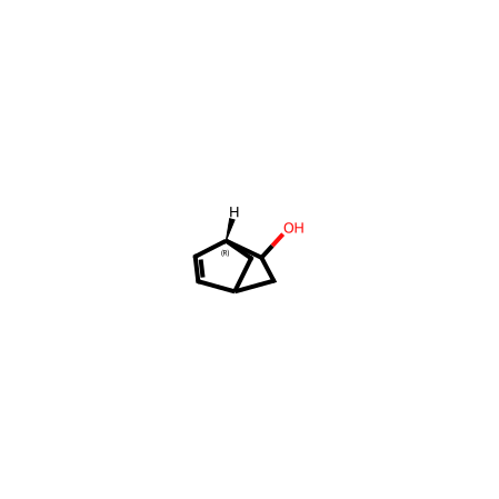 OC1CC2C=C[C@H]1C2